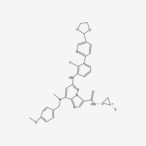 COc1ccc(CN(C)c2cc(Nc3cccc(-c4ccc(C5OCCO5)cn4)c3F)nn3c(C(=O)N[C@@H]4C[C@@H]4F)cnc23)cc1